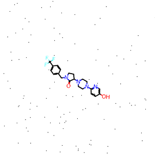 O=C1C(N2CCN(c3ccc(O)cn3)CC2)CCN1Cc1ccc(C(F)(F)F)cc1